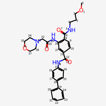 COCCCNC(=O)c1ccc(C(=O)Nc2ccc(-c3ccccc3)cc2)cc1NC(=O)CN1CCOCC1